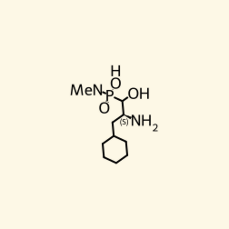 CNP(=O)(O)C(O)[C@@H](N)CC1CCCCC1